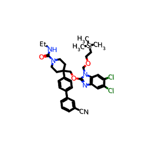 CCNC(=O)N1CCC(COc2nc3cc(Cl)c(Cl)cc3n2COCC[Si](C)(C)C)(c2ccc(-c3cccc(C#N)c3)cc2)CC1